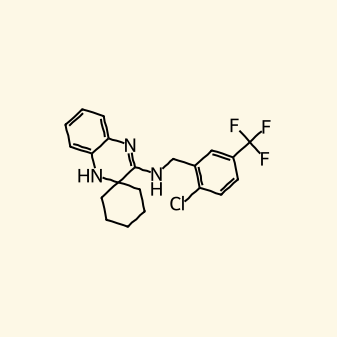 FC(F)(F)c1ccc(Cl)c(CNC2=Nc3ccccc3NC23CCCCC3)c1